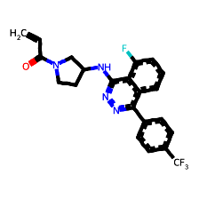 C=CC(=O)N1CCC(Nc2nnc(-c3ccc(C(F)(F)F)cc3)c3cccc(F)c23)C1